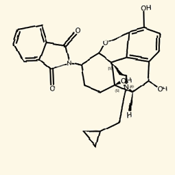 O=C1c2ccccc2C(=O)N1C1CC[C@@]2(O)[C@H]3C(O)c4ccc(O)c5c4[C@@]2(CCN3CC2CC2)C1O5